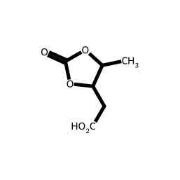 CC1OC(=O)OC1CC(=O)O